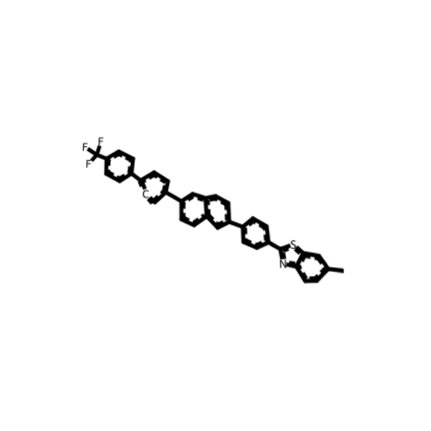 Cc1ccc2nc(-c3ccc(-c4ccc5cc(-c6ccc(-c7ccc(C(F)(F)F)cc7)cc6)ccc5c4)cc3)sc2c1